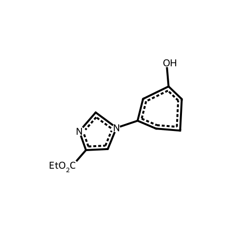 CCOC(=O)c1cn(-c2cccc(O)c2)cn1